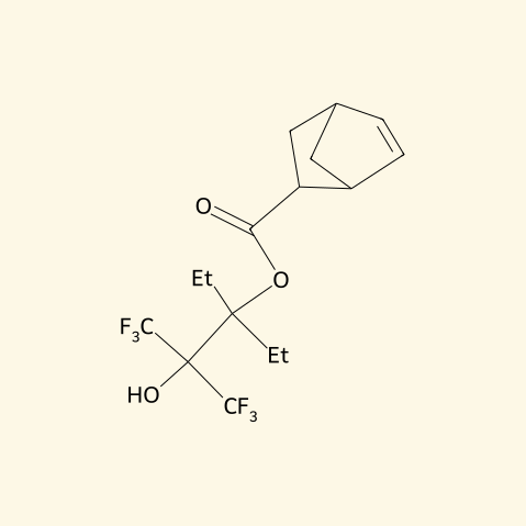 CCC(CC)(OC(=O)C1CC2C=CC1C2)C(O)(C(F)(F)F)C(F)(F)F